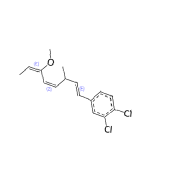 C/C=C(\C=C/C(C)/C=C/c1ccc(Cl)c(Cl)c1)OC